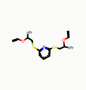 C=COC(CCC)CSc1cccc(SCC(CCC)OC=C)n1